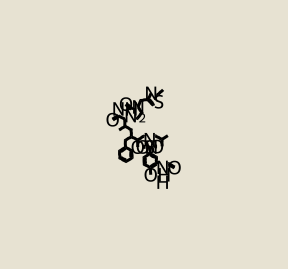 Cc1nc(CN2CCN(C(C(N)=O)C(C)CC(Cc3ccccc3)C(O)CN(CC(C)C)S(=O)(=O)c3ccc(O)c(NC=O)c3)C2=O)cs1